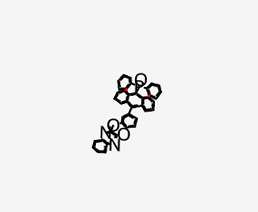 O=P(c1ccccc1)(c1ccccc1)c1c2ccccc2c(-c2ccc3c(c2)Oc2nc4ccccc4nc2O3)c2ccccc12